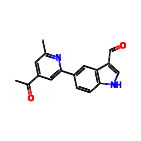 CC(=O)c1cc(C)nc(-c2ccc3[nH]cc(C=O)c3c2)c1